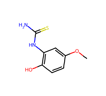 COc1ccc(O)c(NC(N)=S)c1